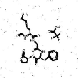 NCCCC[C@H](NC=O)C(=O)NCC(=O)N[C@@H](Cc1ccccc1)C(=O)N[C@H]1CCSC1=O.O=C(O)C(F)(F)F